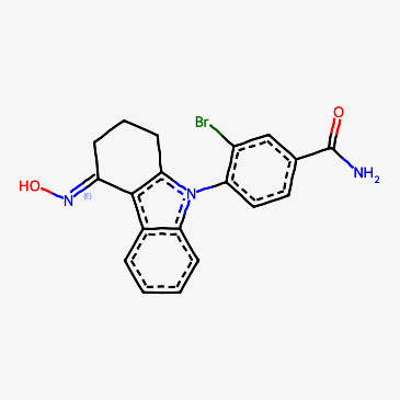 NC(=O)c1ccc(-n2c3c(c4ccccc42)/C(=N/O)CCC3)c(Br)c1